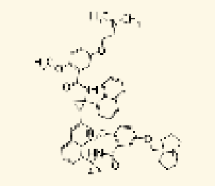 COc1ccc(OCCN(C)C)cc1C(=O)NC1(c2cccc3ccccc23)CC1c1ccc2c(C3(NC(=O)c4cc(OCC56CCCN5CCC6)ccc4C)CC3)cccc2c1